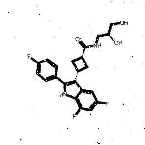 O=C(NC[C@H](O)CO)[C@H]1C[C@H](c2c(-c3ccc(F)cc3)[nH]c3c(F)cc(F)cc32)C1